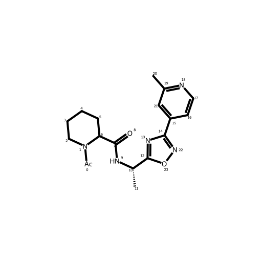 CC(=O)N1CCCCC1C(=O)N[C@@H](C)c1nc(-c2ccnc(C)c2)no1